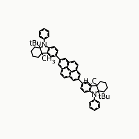 CC(C)(C)C12CCCCC1(C)c1cc(-c3cc4ccc5cc(-c6ccc7c(c6)C6(C)CCCCC6(C(C)(C)C)N7c6ccccc6)cc6ccc(c3)c4c56)ccc1N2c1ccccc1